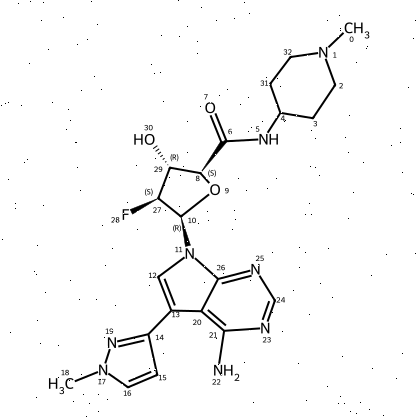 CN1CCC(NC(=O)[C@H]2O[C@@H](n3cc(-c4ccn(C)n4)c4c(N)ncnc43)[C@@H](F)[C@@H]2O)CC1